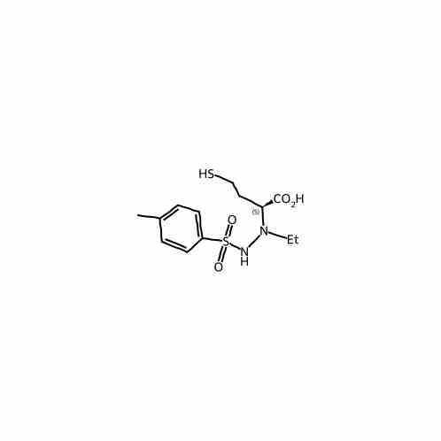 CCN(NS(=O)(=O)c1ccc(C)cc1)[C@@H](CCS)C(=O)O